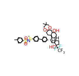 Cc1ccc(S(=O)(=O)N=S(C)c2ccc(-c3ccc([C@H]4C[C@@]5(C)[C@@H](CC[C@@]5(O)C(F)(F)C(F)(F)F)[C@@H]5CC[C@@]6(O)CC7(CCC6=C54)OCC(C)(C)CO7)cc3)cc2)cc1